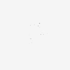 CNC(=O)Cn1ccnc1C1=CC=CC(C2CCN(C3CCCc4c(C)cccc43)CC2)C1=O